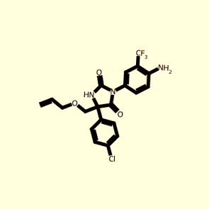 C=CCOCC1(c2ccc(Cl)cc2)NC(=O)N(c2ccc(N)c(C(F)(F)F)c2)C1=O